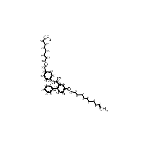 C=CCCCCCCCCCOc1ccc(-c2ccccc2)c(C(=O)Oc2ccc(COCCCCCCCC(F)(F)F)cc2)c1